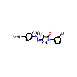 CCc1cccc(NC(=O)C(C)/C(C)=N\N(C=O)c2ccc(NC(C)=O)cc2)c1